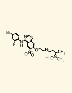 CC(CC[N]CCOc1cc2ncnc(Nc3ccc(Br)cc3F)c2cc1[N+](=O)[O-])N(C)C